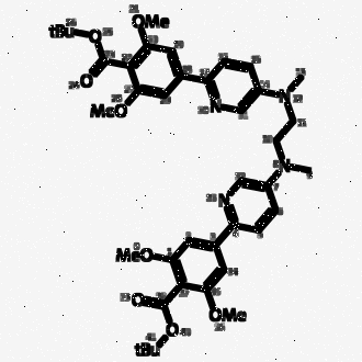 COc1cc(-c2ccc(N(C)CCN(C)c3ccc(-c4cc(OC)c(C(=O)OC(C)(C)C)c(OC)c4)nc3)cn2)cc(OC)c1C(=O)OC(C)(C)C